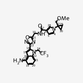 COCC1(n2ccc(C(=O)NCc3nc(-c4cc5c(N)cccc5n4CC(F)(F)F)no3)c2)CC1